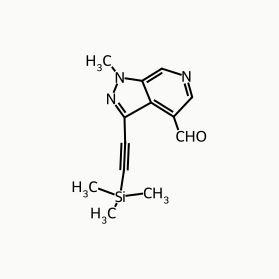 Cn1nc(C#C[Si](C)(C)C)c2c(C=O)cncc21